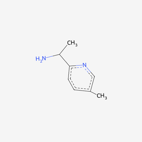 Cc1ccc(C(C)N)nc1